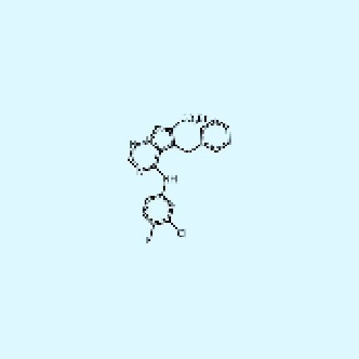 CCOC(=O)c1cn2ncnc(Nc3ccc(F)c(Cl)c3)c2c1Cc1ccccc1